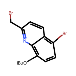 CC(C)COc1ccc(Br)c2ccc(CBr)nc12